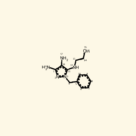 Nc1nn(Cc2ccccc2)c(NCCO)c1N